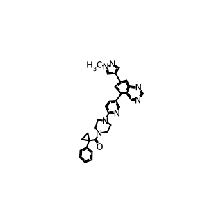 Cn1cc(-c2cc(-c3ccc(N4CCN(C(=O)C5(c6ccccc6)CC5)CC4)nc3)c3cncnc3c2)cn1